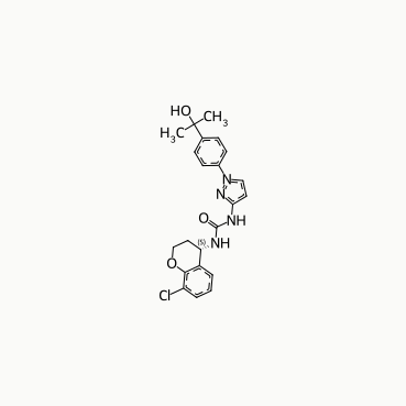 CC(C)(O)c1ccc(-n2ccc(NC(=O)N[C@H]3CCOc4c(Cl)cccc43)n2)cc1